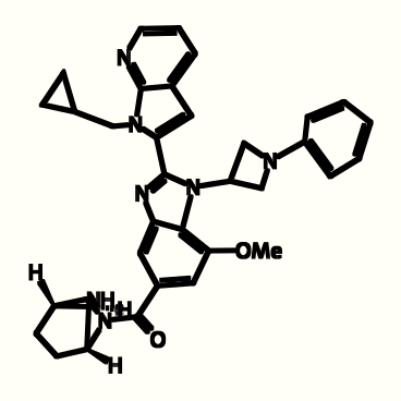 COc1cc(C(=O)N2C[C@H]3CC[C@@H]2[C@@H]3N)cc2nc(-c3cc4cccnc4n3CC3CC3)n(C3CN(c4ccccc4)C3)c12